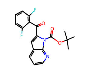 CC(C)(C)OC(=O)n1c(C(=O)c2c(F)cccc2F)cc2cccnc21